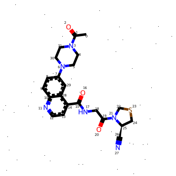 CC(=O)N1CCN(c2ccc3nccc(C(=O)NCC(=O)N4CSC[C@H]4C#N)c3c2)CC1